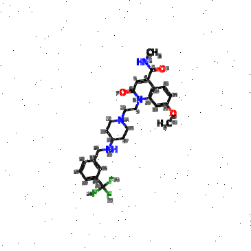 CNC(=O)c1cc(=O)n(CCN2CCC(NCc3cccc(C(F)(F)F)c3)CC2)c2cc(OC)ccc12